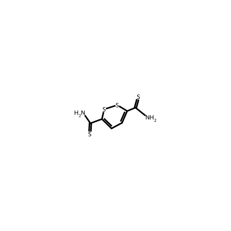 NC(=S)C1=CC=C(C(N)=S)SS1